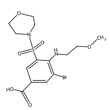 COCCNc1c(Br)cc(C(=O)O)cc1S(=O)(=O)N1CCOCC1